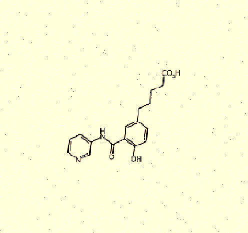 O=C(O)CCCCc1ccc(O)c(C(=O)Nc2cccnc2)c1